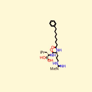 CNC(=N)NCCC[C@H](NC(=O)CCCCCCCc1ccccc1)C(=O)N[C@@H](CC(C)C)B(O)O